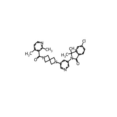 Cc1ccnc(C)c1C(=O)N1CC2(C1)CN(c1cncc(N3C(=O)c4ccc(Cl)cc4C3(C)C)c1)C2